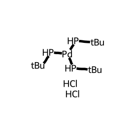 CC(C)(C)[PH][Pd]([PH]C(C)(C)C)[PH]C(C)(C)C.Cl.Cl